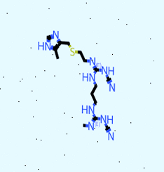 C/N=C(/NC#N)NCCCN/C(=N\CCSCc1nc[nH]c1C)NC#N